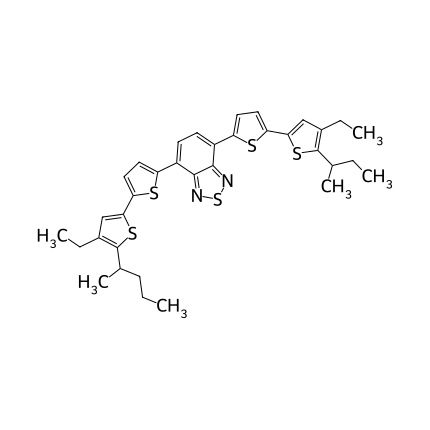 CCCC(C)c1sc(-c2ccc(-c3ccc(-c4ccc(-c5cc(CC)c(C(C)CC)s5)s4)c4nsnc34)s2)cc1CC